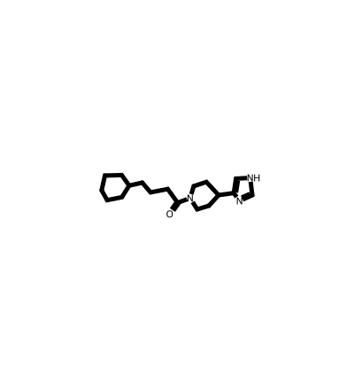 O=C(CCCC1CCCCC1)N1CCC(c2c[nH]cn2)CC1